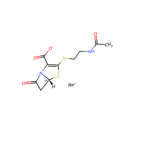 CC(=O)NCCSC1=C(C(=O)[O-])N2C(=O)C[C@H]2S1.[Na+]